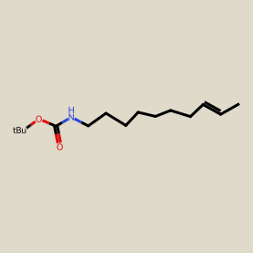 CC=CCCCCCCCNC(=O)OC(C)(C)C